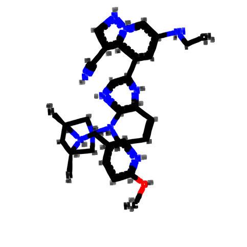 CCNc1cc(-c2cnc3c(n2)C=CCN3N2C[C@H]3C[C@@H](C2)N3Cc2ccc(OC)nc2)c2c(C#N)cnn2c1